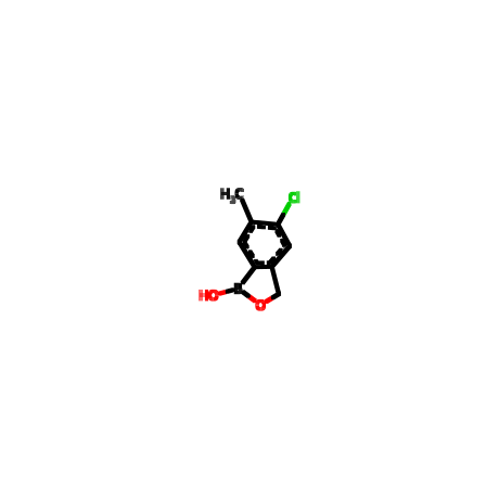 Cc1cc2c(cc1Cl)COB2O